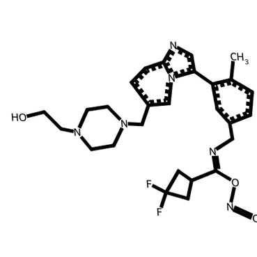 C=NO/C(=N\Cc1ccc(C)c(-c2cnc3ccc(CN4CCN(CCO)CC4)cn23)c1)C1CC(F)(F)C1